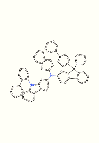 c1ccc(-c2ccc(C3(c4ccccc4)c4ccccc4-c4ccc(N(c5ccc6ccccc6c5)c5ccc6c7ccccc7n(-c7ccccc7-c7ccccc7)c6c5)cc43)cc2)cc1